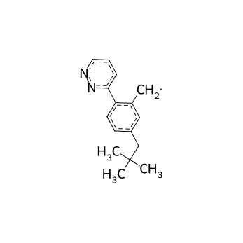 [CH2]c1cc(CC(C)(C)C)ccc1-c1cccnn1